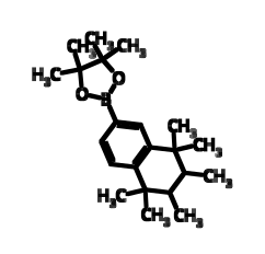 CC1C(C)C(C)(C)c2cc(B3OC(C)(C)C(C)(C)O3)ccc2C1(C)C